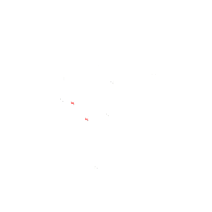 COCOc1cc(N2CCc3c(nc(OCC45CCCN4CCC5)nc3N3C[C@H]4CC[C@@H](C3)N4C(=O)OC(C)(C)C)C2)c2c(Cl)c(F)ccc2c1